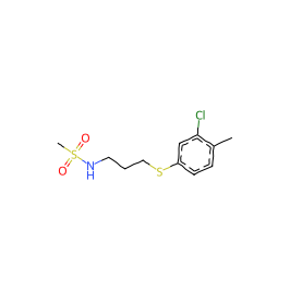 Cc1ccc(SCCCNS(C)(=O)=O)cc1Cl